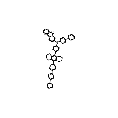 c1ccc(-c2ccc(-c3ccc(-c4c5c(c(-c6ccc(N(c7ccc(-c8ccccc8)cc7)c7ccc8c(c7)oc7ccccc78)cc6)c6c4CCCC6)CCCC5)cc3)cc2)cc1